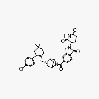 CC1(C)CCC(CN2CC3CC2CN3C(=O)c2ccc3c(c2)CN(C2CCC(=O)NC2=O)C3=O)=C(c2ccc(Cl)cc2)C1